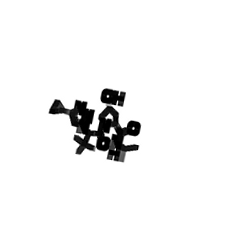 CC(C)NC(=O)[C@@H]1C[C@@H](O)CN1C(=O)C(n1cc(C2CC2)nn1)C(C)(C)C